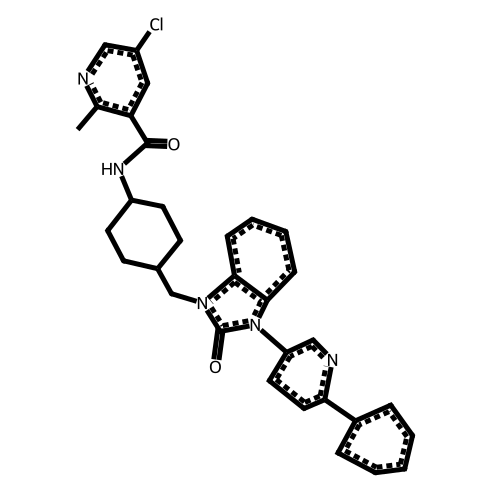 Cc1ncc(Cl)cc1C(=O)NC1CCC(Cn2c(=O)n(-c3ccc(-c4ccccc4)nc3)c3ccccc32)CC1